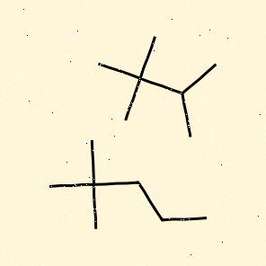 CC(C)C(C)(C)C.CCCC(C)(C)C